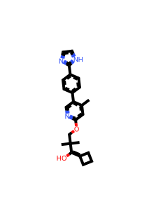 Cc1cc(OCC(C)(C)C(O)=C2CCC2)ncc1-c1ccc(-c2ncc[nH]2)cc1